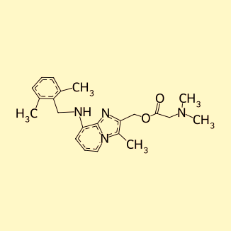 Cc1cccc(C)c1CNc1cccn2c(C)c(COC(=O)CN(C)C)nc12